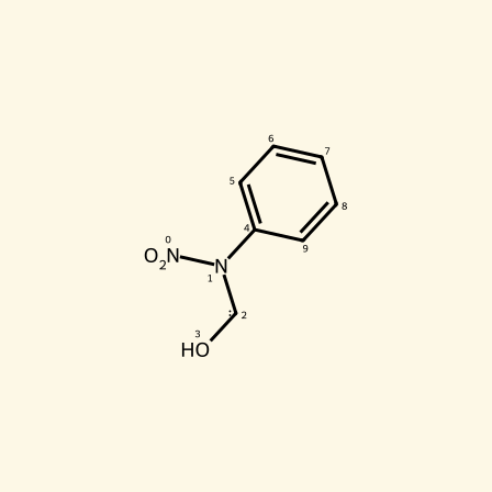 O=[N+]([O-])N([C]O)c1ccccc1